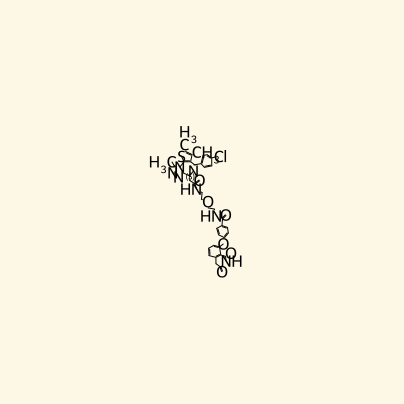 Cc1sc2c(c1C)C(c1ccc(Cl)cc1)=N[C@@H](CC(=O)NCCOCCNC(=O)c1ccc(Oc3cccc4c3C(=O)NC(=O)C4)cc1)c1nnc(C)n1-2